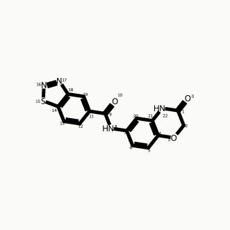 O=C1COc2ccc(NC(=O)c3ccc4snnc4c3)cc2N1